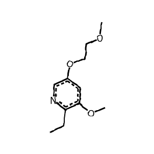 CCc1ncc(OCCOC)cc1OC